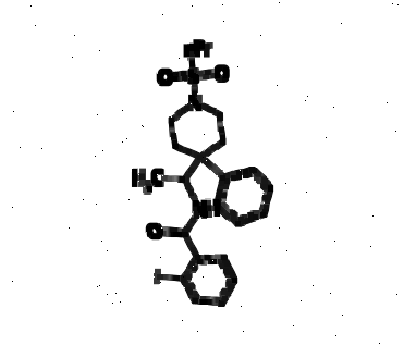 CCCS(=O)(=O)N1CCC(c2ccccc2)(C(C)NC(=O)c2ccccc2I)CC1